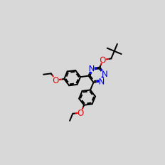 CCOc1ccc(-c2nnc(OCC(C)(C)C)nc2-c2ccc(OCC)cc2)cc1